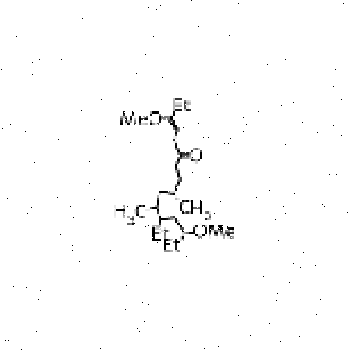 CC/C(=C/CC(=O)CC[C@H](C)CC(C)C(CC)C[C@H](CC)OC)OC